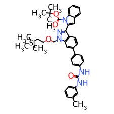 Cc1cccc(NC(=O)Nc2ccc(-c3ccc4c(-c5cc6ccccc6n5C(=O)OC(C)(C)C)nn(COCC[Si](C)(C)C)c4c3)cc2)c1